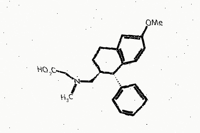 COc1ccc2c(c1)CC[C@H](CN(C)CC(=O)O)[C@H]2c1ccccc1